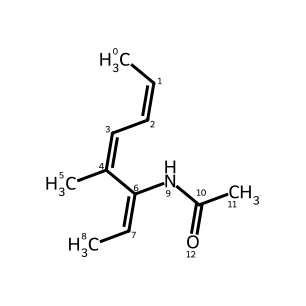 C\C=C/C=C(C)\C(=C/C)NC(C)=O